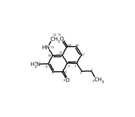 CCCC1=C2C(=O)C=C(N)C(NC)=C2C(=O)C=C1